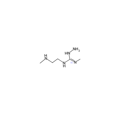 C/N=C(\NN)NCCNC